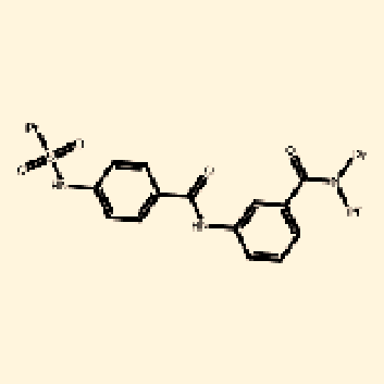 CC(C)N(C(=O)c1cccc(NC(=O)c2ccc(NS(=O)(=O)C(C)C)cc2)c1)C(C)C